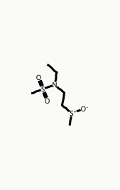 CCN(CC[S+](C)[O-])S(C)(=O)=O